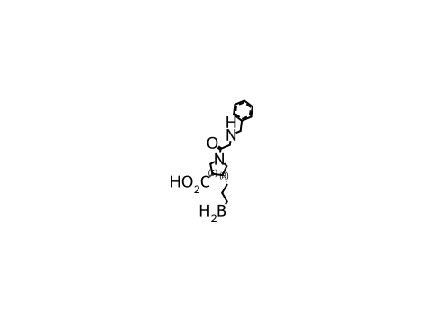 BCCC[C@H]1CN(C(=O)CNCc2ccccc2)C[C@H]1C(=O)O